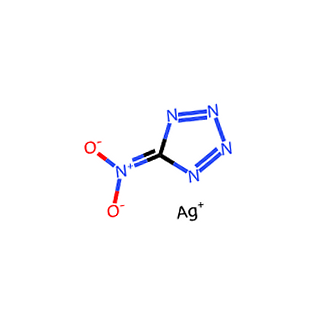 [Ag+].[O-][N+]([O-])=C1N=NN=N1